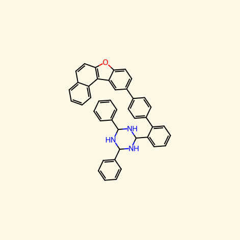 c1ccc(C2NC(c3ccccc3)NC(c3ccccc3-c3ccc(-c4ccc5oc6ccc7ccccc7c6c5c4)cc3)N2)cc1